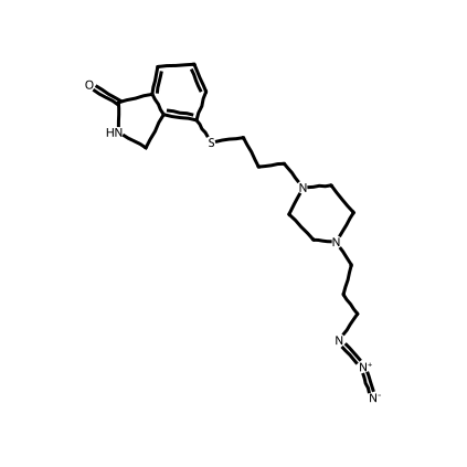 [N-]=[N+]=NCCCN1CCN(CCCSc2cccc3c2CNC3=O)CC1